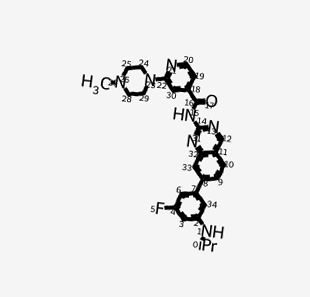 CC(C)Nc1cc(F)cc(-c2ccc3cnc(NC(=O)c4ccnc(N5CCN(C)CC5)c4)nc3c2)c1